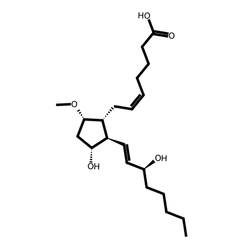 CCCCC[C@H](O)/C=C/[C@@H]1[C@@H](C/C=C\CCCC(=O)O)[C@@H](OC)C[C@H]1O